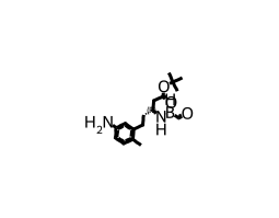 Cc1ccc(N)cc1CC[C@H](CC(=O)OC(C)(C)C)NBC=O